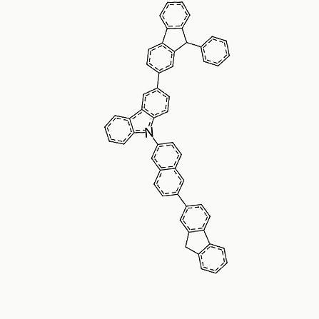 c1ccc(C2c3ccccc3-c3ccc(-c4ccc5c(c4)c4ccccc4n5-c4ccc5cc(-c6ccc7c(c6)Cc6ccccc6-7)ccc5c4)cc32)cc1